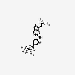 CC(C)Cc1ncc2cnc(N[C@H]3CCN(C(=O)OC(C)(C)C)C[C@@H]3F)nn12